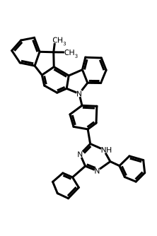 CC1(C)c2ccccc2-c2ccc3c(c21)c1ccccc1n3-c1ccc(C2=NC(C3=CCCC=C3)=NC(c3ccccc3)N2)cc1